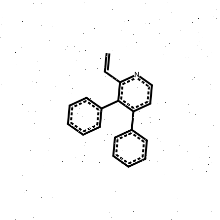 C=Cc1nccc(-c2ccccc2)c1-c1ccccc1